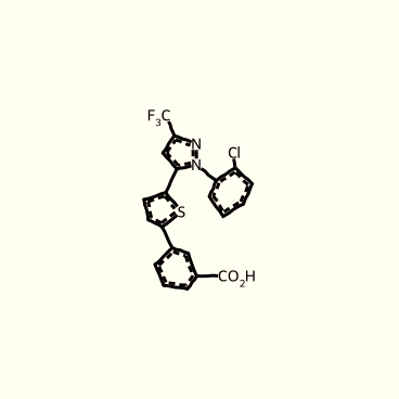 O=C(O)c1cccc(-c2ccc(-c3cc(C(F)(F)F)nn3-c3ccccc3Cl)s2)c1